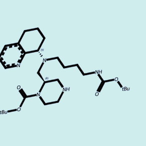 CC(C)(C)OC(=O)NCCCCN(C[C@H]1CNCCN1C(=O)OC(C)(C)C)[C@H]1CCCc2cccnc21